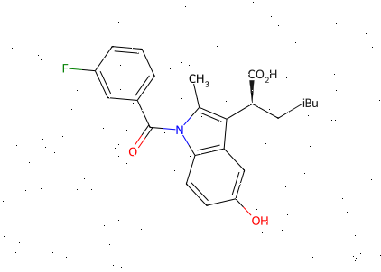 CCC(C)C[C@H](C(=O)O)c1c(C)n(C(=O)c2cccc(F)c2)c2ccc(O)cc12